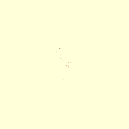 COc1cc(CNC(=O)c2cc3cc(F)ccc3[nH]2)cc(OC)c1OC